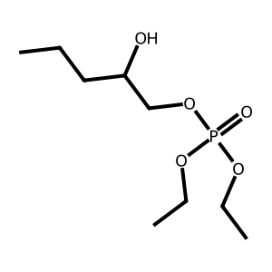 CCCC(O)COP(=O)(OCC)OCC